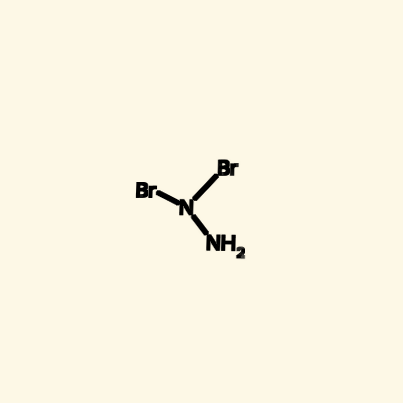 NN(Br)Br